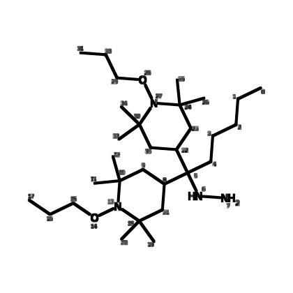 CCCCCC(NN)(C1CC(C)(C)N(OCCC)C(C)(C)C1)C1CC(C)(C)N(OCCC)C(C)(C)C1